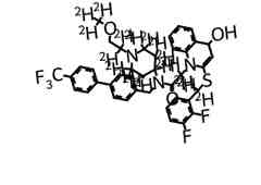 [2H]C([2H])([2H])OCC([2H])([2H])N1C([2H])([2H])C([2H])([2H])C([2H])(N(Cc2ccc(-c3ccc(C(F)(F)F)cc3)cc2)C(=O)C([2H])([2H])N2C(SC([2H])([2H])c3cccc(F)c3F)=CC(O)c3ccccc32)C([2H])([2H])C1([2H])[2H]